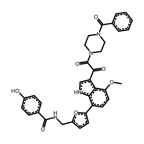 COc1ccc(-c2ccc(CNC(=O)c3ccc(O)cc3)o2)c2[nH]cc(C(=O)C(=O)N3CCN(C(=O)c4ccccc4)CC3)c12